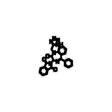 O=C1C(N2C(=O)c3ccccc3C2=O)N=C(c2ccccc2)c2ccccc2N1Cc1nnn[nH]1